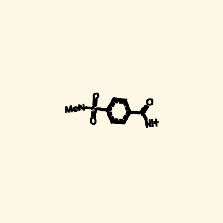 CNS(=O)(=O)c1ccc(C([NH])=O)cc1